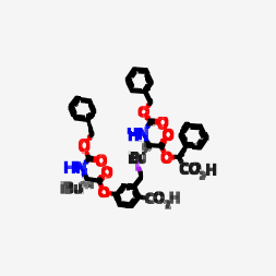 CCC(C)[C@H](NC(=O)OCc1ccccc1)C(=O)OC(C(=O)O)c1ccccc1.CCC(C)[C@H](NC(=O)OCc1ccccc1)C(=O)Oc1ccc(C(=O)O)c(CI)c1